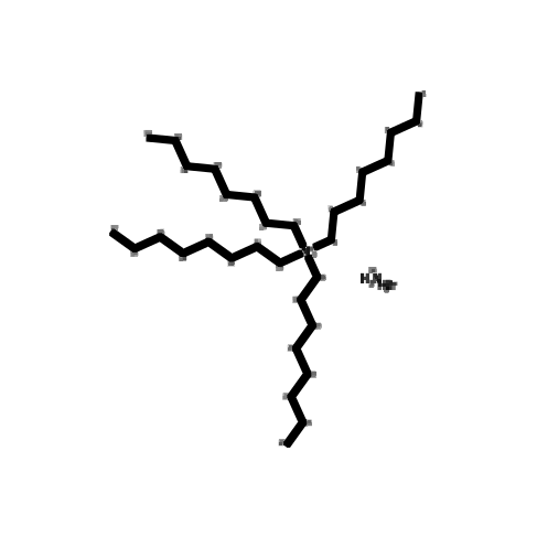 Br.CCCCCCCC[N+](CCCCCCCC)(CCCCCCCC)CCCCCCCC.N